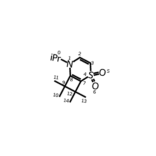 CC(C)N1C=CS(=O)(=O)C2=C1C(C)(C)C2(C)C